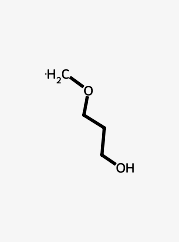 [CH2]OCCCO